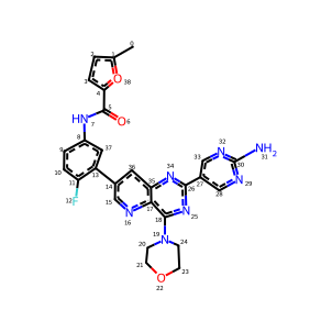 Cc1ccc(C(=O)Nc2ccc(F)c(-c3cnc4c(N5CCOCC5)nc(-c5cnc(N)nc5)nc4c3)c2)o1